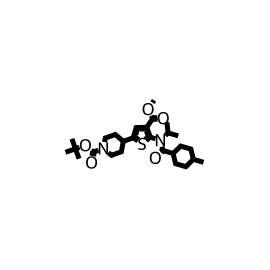 COC(=O)c1cc(C2CCN(C(=O)OC(C)(C)C)CC2)sc1N(C(=O)C1CCC(C)CC1)C(C)C